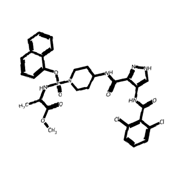 COC(=O)C(C)NP(=O)(Oc1cccc2ccccc12)N1CCC(NC(=O)c2n[nH]cc2NC(=O)c2c(Cl)cccc2Cl)CC1